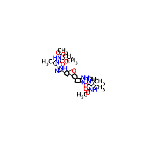 COC(=O)N[C@@H]1C(=O)N2[C@H](CC[C@H]2c2nc3ccc4cc5c(cc4c3[nH]2)OCc2cc(-c3cnc([C@@H]4C[C@H](C)CN4C(=O)[C@@H](NC(=O)OC)[C@@H](C)OC)[nH]3)ccc2-5)[C@H](C)[C@@H]1C